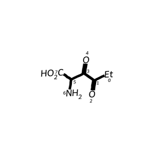 CCC(=O)C(=O)C(N)C(=O)O